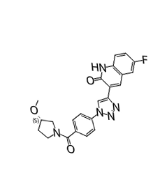 CO[C@H]1CCN(C(=O)c2ccc(-n3cc(-c4cc5cc(F)ccc5[nH]c4=O)nn3)cc2)C1